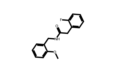 COc1ccccc1CNC(=O)Cc1ccccc1F